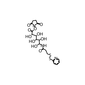 O=C(CCSSc1ccccn1)NC(O)C(O)C(O)C(O)C(O)C(=O)ON1C(=O)CCC1=O